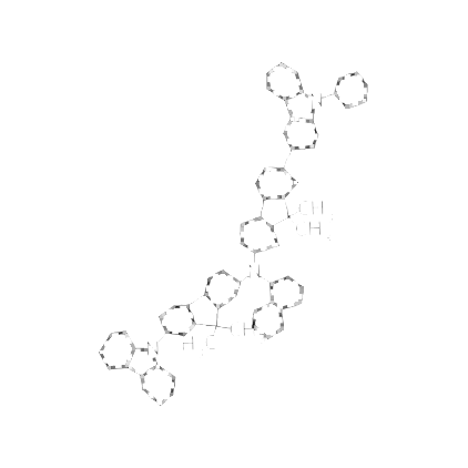 CC1(C)c2cc(-c3ccc4c(c3)c3ccccc3n4-c3ccccc3)ccc2-c2ccc(N(c3ccc4c(c3)C(C)(C)c3cc(-n5c6ccccc6c6ccccc65)ccc3-4)c3cccc4ccccc34)cc21